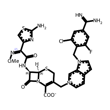 CO/N=C(\C(=O)N[C@@H]1C(=O)N2C(C(=O)[O-])=C(C[n+]3ccc4ccn(Cc5c(F)cc(C(=N)N)cc5Cl)c4c3)CS[C@H]12)c1csc(N)n1